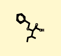 CCC(C)C(OCc1ccccc1)C(=O)O